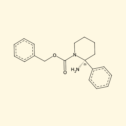 N[C@@]1(c2ccccc2)CCCCN1C(=O)OCc1ccccc1